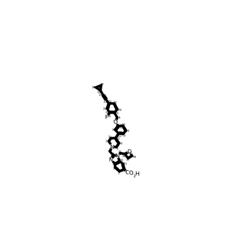 O=C(O)c1ccc2nc(CN3CC=C(c4cccc(OCc5ccc(C#CC6CC6)cc5F)c4)CC3)n(CC3CCO3)c2c1